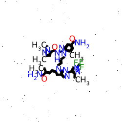 C=C/C(=C\C=C1/Cc2cnc(-c3cn(C(F)(F)F)nc3CC)nc2N1C/C=C/Cn1c(NC(=O)c2cc(C)nn2CC)nc2cc(C(N)=O)cc(C)c21)C(N)=O